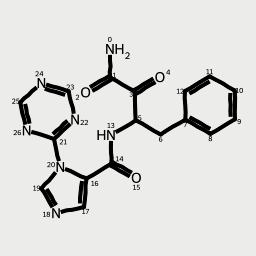 NC(=O)C(=O)C(Cc1ccccc1)NC(=O)c1cncn1-c1ncncn1